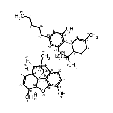 C=C(C)[C@@H]1CCC(C)=C[C@H]1c1c(O)cc(CCCCC)cc1O.CN1CC[C@]23c4c5ccc(O)c4O[C@H]2[C@@H](O)C=C[C@H]3[C@H]1C5